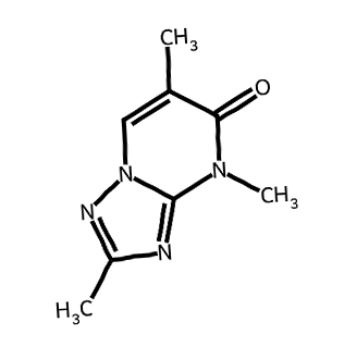 Cc1nc2n(C)c(=O)c(C)cn2n1